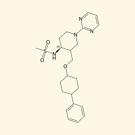 CS(=O)(=O)N[C@H]1CCN(c2ncccn2)CC1COC1CCC(c2ccccc2)CC1